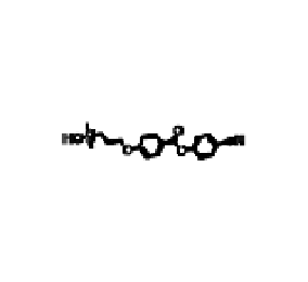 C[Si](C)(O)CCCOc1ccc(C(=O)Oc2ccc(C#N)cc2)cc1